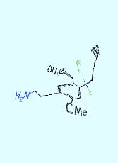 C#CCC(F)(F)c1cc(OC)c(CCN)cc1OC